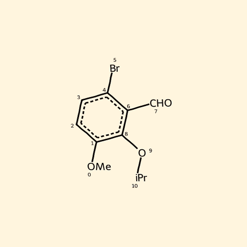 COc1ccc(Br)c(C=O)c1OC(C)C